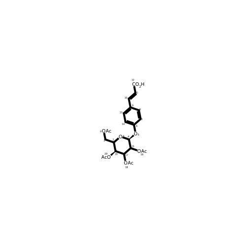 CC(=O)OCC1O[C@@H](Oc2ccc(/C=C/C(=O)O)cc2)C(OC(C)=O)C(OC(C)=O)[C@H]1OC(C)=O